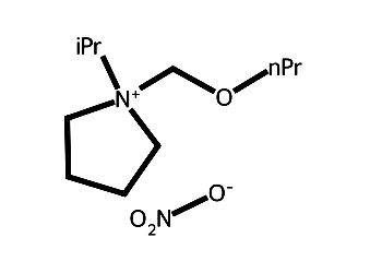 CCCOC[N+]1(C(C)C)CCCC1.O=[N+]([O-])[O-]